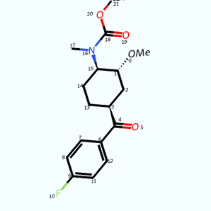 CO[C@@H]1C[C@@H](C(=O)c2ccc(F)cc2)CC[C@H]1N(C)C(=O)OC(C)(C)C